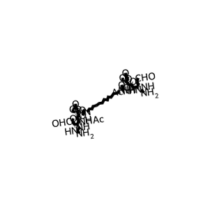 CC(=O)N[C@H]1[C@H]([C@H](OC(=O)NCCCCCCCCCCCCCNC(=O)O[C@@H]([C@@H]2OC(C=O)=C[C@H](NC(=N)N)[C@H]2NC(C)=O)[C@H]2COC(=O)O2)[C@H]2COC(=O)O2)OC(C=O)=C[C@@H]1NC(=N)N